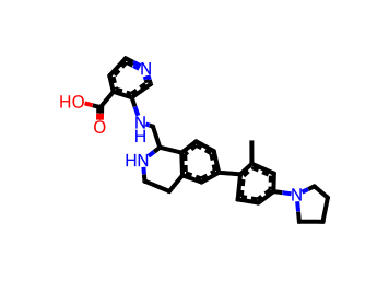 Cc1cc(N2CCCC2)ccc1-c1ccc2c(c1)CCNC2CNc1cnccc1C(=O)O